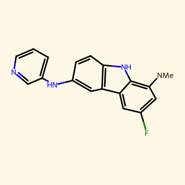 CNc1cc(F)cc2c1[nH]c1ccc(Nc3cccnc3)cc12